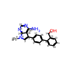 CC(C)n1cc(-c2ccc(-c3ccccc3CO)cc2)c2c(N)ncnc21